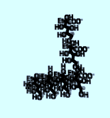 CCC(O)(C(=O)[O-])C(O)C(O)C(O)CO.CCC(O)(C(=O)[O-])C(O)C(O)C(O)CO.CCC(O)(C(=O)[O-])C(O)C(O)C(O)CO.CCC(O)(C(=O)[O-])C(O)C(O)C(O)CO.CCC(O)(C(=O)[O-])C(O)C(O)C(O)CO.CCC(O)(C(=O)[O-])C(O)C(O)C(O)CO.[Mo+6]